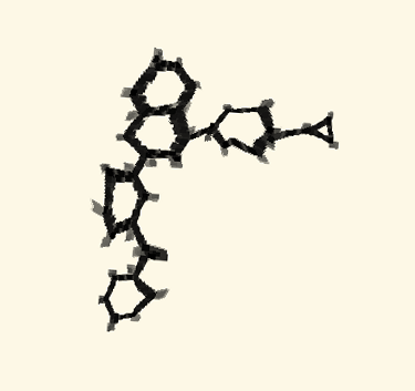 c1cc2c(N3CCN(C4CC4)CC3)nc(-c3ccnc(NC4CCOCC4)c3)cc2cn1